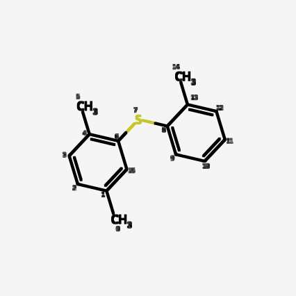 Cc1ccc(C)c(Sc2ccccc2C)c1